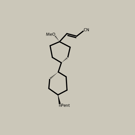 CCCCC[C@H]1CC[C@H]([C@H]2CC[C@@](C=CC#N)(OC)CC2)CC1